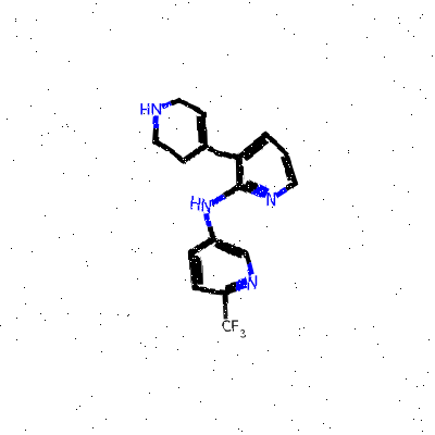 FC(F)(F)c1ccc(Nc2ncccc2C2=CCNCC2)cn1